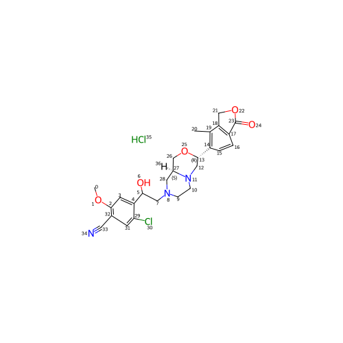 COc1cc(C(O)CN2CCN3C[C@@H](c4ccc5c(c4C)COC5=O)OC[C@@H]3C2)c(Cl)cc1C#N.Cl